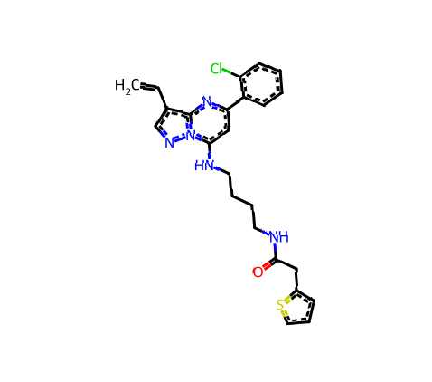 C=Cc1cnn2c(NCCCCNC(=O)Cc3cccs3)cc(-c3ccccc3Cl)nc12